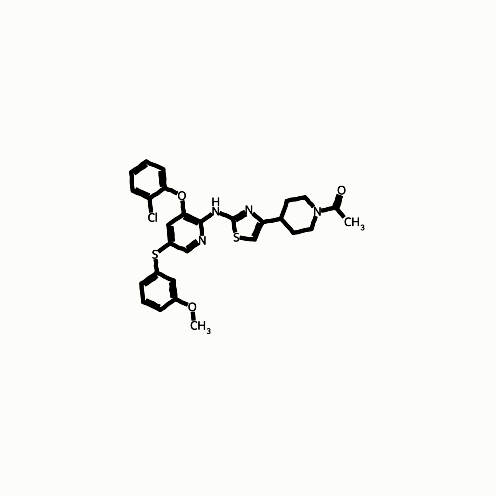 COc1cccc(Sc2cnc(Nc3nc(C4CCN(C(C)=O)CC4)cs3)c(Oc3ccccc3Cl)c2)c1